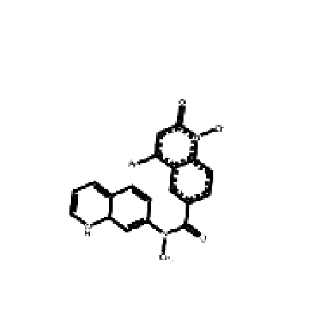 CCn1c(=O)cc(C(C)C)c2cc(C(=O)N(C)C3=CC4NC=CC=C4C=C3)ccc21